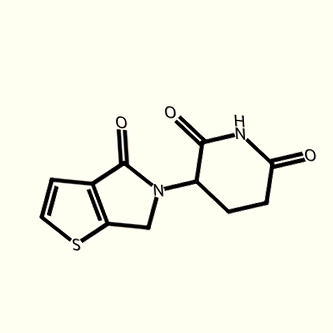 O=C1CCC(N2Cc3sccc3C2=O)C(=O)N1